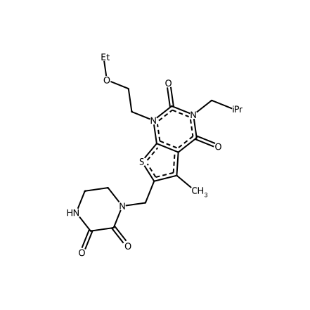 CCOCCn1c(=O)n(CC(C)C)c(=O)c2c(C)c(CN3CCNC(=O)C3=O)sc21